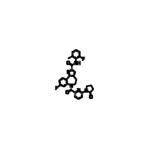 Cc1cccc(F)c1NC(=O)c1cc2c(s1)-c1ccc(F)cc1N(C(=O)c1cccc(N3CCCC3=O)n1)CC2